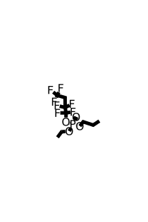 CCCOP(=O)(OCC)OC(F)(F)C(F)(F)CC(F)(F)F